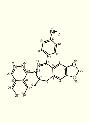 C[C@@H]1Cc2cc3c(cc2C(c2ccc(N)cc2)=NN1c1nncc2ccccc12)OCO3